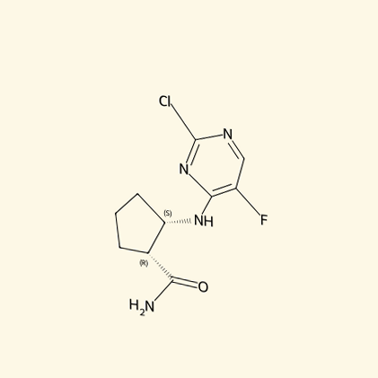 NC(=O)[C@@H]1CCC[C@@H]1Nc1nc(Cl)ncc1F